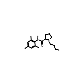 CCCCN1CCC[C@@H]1C(=O)Nc1c(C)cc(C)cc1C